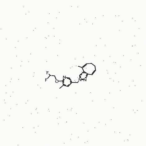 C/C1=C/CC/C=C\c2nn(Cc3cnc(OCC(F)F)c(C)c3)cc21